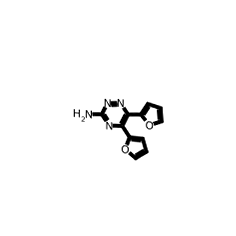 Nc1nnc(-c2ccco2)c(-c2ccco2)n1